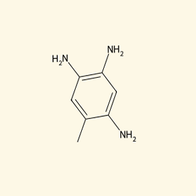 Cc1cc(N)c(N)cc1N